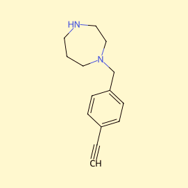 C#Cc1ccc(CN2CCCNCC2)cc1